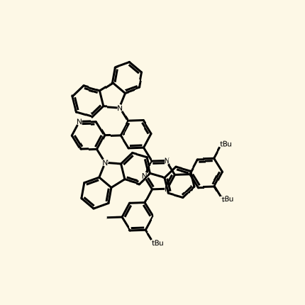 Cc1cc(-c2nc(-c3cc(C(C)(C)C)cc(C(C)(C)C)c3)nc(-c3ccc(-n4c5ccccc5c5ccccc54)c(-c4cnccc4-n4c5ccccc5c5cc(-c6ccccc6)ccc54)c3)n2)cc(C(C)(C)C)c1